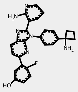 Nc1ncccc1-c1nc2ccc(-c3cc(O)ccc3F)nc2n1-c1ccc(C2(N)CCC2)cc1